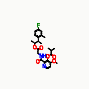 COc1ccnc(C(=O)NCC(=O)O[C@@H](C)[C@H](C)c2ccc(F)cc2C)c1OC(=O)C(C)C